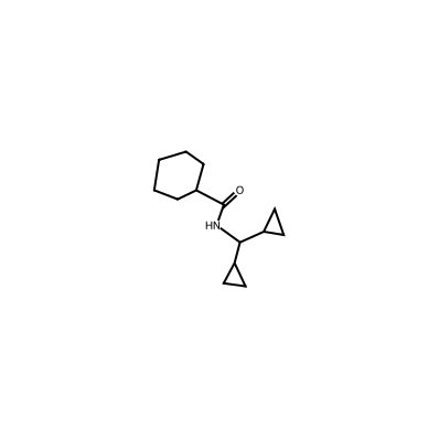 O=C(NC(C1CC1)C1CC1)C1CCCCC1